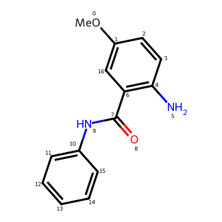 COc1ccc(N)c(C(=O)Nc2ccccc2)c1